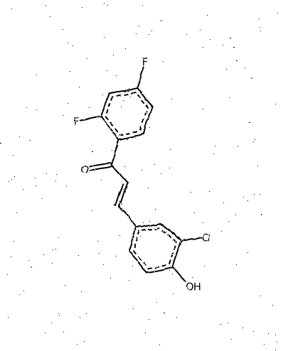 O=C(C=Cc1ccc(O)c(Cl)c1)c1ccc(F)cc1F